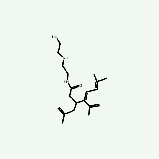 C=C(C)CC(CC(=O)NCCNCCO)/C(=C/C=C(C)C)C(=C)C